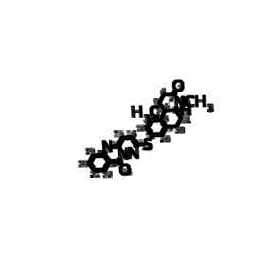 CN1C(=O)CC[C@]2(C)c3ccc(Sc4ccc5nc6ccccc6c(=O)n5n4)cc3CC[C@@H]12